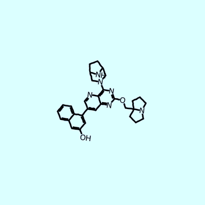 Oc1cc(-c2cnc3c(N4CC5CCC(C4)N5)nc(OCC45CCCN4CCC5)nc3c2)c2ccccc2c1